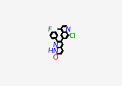 Cc1ccnc2c(Cl)cc(-c3cc4ccc(=O)[nH]c4nc3-c3ccc(F)cc3)cc12